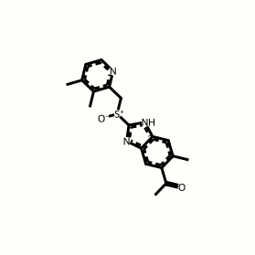 CC(=O)c1cc2nc([S+]([O-])Cc3nccc(C)c3C)[nH]c2cc1C